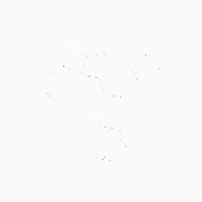 NC(=O)C1(CC(Cc2nccs2)Oc2ccccc2)CCNCC1